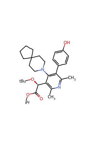 Cc1nc(C)c([C@H](OC(C)(C)C)C(=O)OC(C)C)c(N2CCC3(CCCC3)CC2)c1-c1ccc(O)cc1